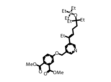 CC/C(=C\CCC(CC)(CC)O[Si](CC)(CC)CC)c1cncc(COc2ccc(C(=O)OC)c(C(=O)OC)c2)c1